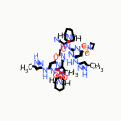 Cc1cc(Nc2cc(S(=O)(=O)N3CCC3)nc(N[C@@H]3C[C@H]4CC[C@@H](C3)N4CC(C#N)OCCOc3cc(Nc4cc(C)[nH]n4)nc(N(C)[C@@H]4C[C@H]5CCC[C@@H](C4)N5S(=O)(=O)N4CC(C#N)C4)n3)n2)n[nH]1